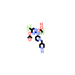 FC(F)(F)c1cnc(N[C@@H]2CCCN(CC3CCNCC3)C2)nc1OC1COC1.O=C(O)C(F)(F)F